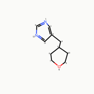 c1ncc(CC2CCOCC2)cn1